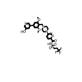 COc1cc(-c2cncc(O)c2)cc(OC)c1CN1CCN(c2ccc(C(=O)NS(=O)(=O)CCC(F)(F)F)nn2)CC1